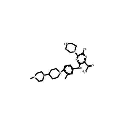 CCc1nc(C(N)=O)c(Nc2ccc(N3CCC(N4CCN(C)CC4)CC3)c(C)c2)nc1N1CCNCC1